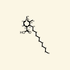 CCCCCCCCCCCc1c(C(=O)O)cc[n+](C)c1C